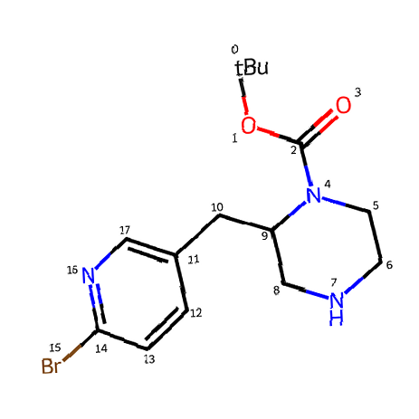 CC(C)(C)OC(=O)N1CCNCC1Cc1ccc(Br)nc1